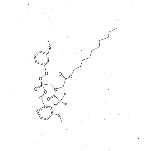 CCCCCCCCCCOC(=O)CN(CP(=O)(OOc1cccc(SC)c1)OOc1cccc(SC)c1)C(=O)C(F)(F)F